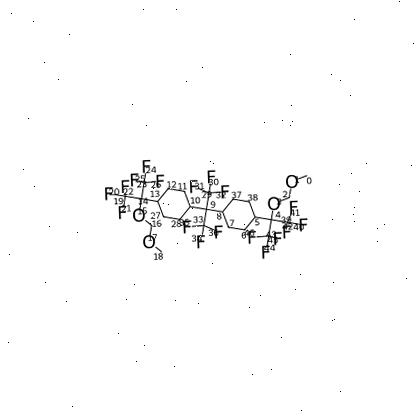 COCOC(C1CCC(C(C2CCC(C(OCOC)(C(F)(F)F)C(F)(F)F)CC2)(C(F)(F)F)C(F)(F)F)CC1)(C(F)(F)F)C(F)(F)F